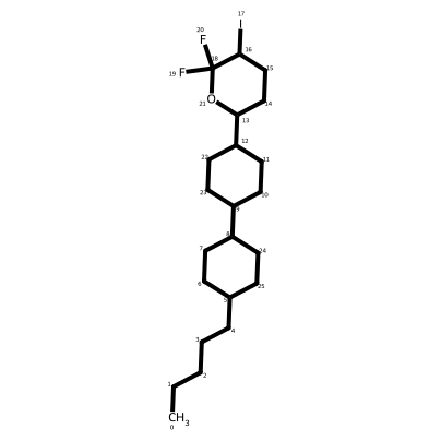 CCCCCC1CCC(C2CCC(C3CCC(I)C(F)(F)O3)CC2)CC1